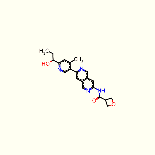 CCC(O)c1cc(C)c(-c2cc3cnc(NC(=O)C4COC4)cc3cn2)cn1